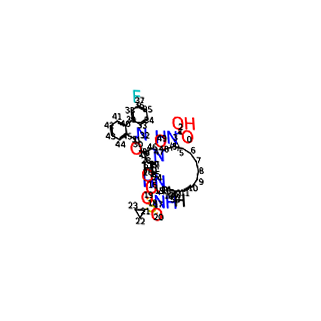 O=C(O)N[C@H]1CCCCCC=C[C@@H]2C[C@@]2(C(=O)NS(=O)(=O)C2CC2)NC(=O)[C@@H]2C[C@@H](Oc3nc4ccc(F)cc4c4ccccc34)CN2C1=O